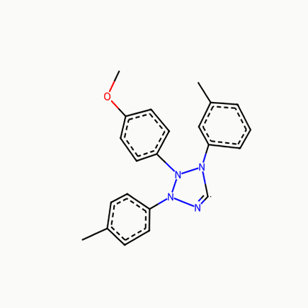 COc1ccc(N2N(c3cccc(C)c3)[C]=NN2c2ccc(C)cc2)cc1